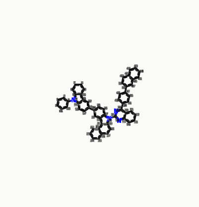 c1ccc(-n2c3ccccc3c3cc(-c4ccc5c(c4)c4c6ccccc6ccc4n5-c4nc(-c5ccc(-c6ccc7ccccc7c6)cc5)c5ccccc5n4)ccc32)cc1